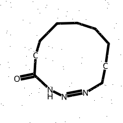 O=C1CCCCCCCCN=NN1